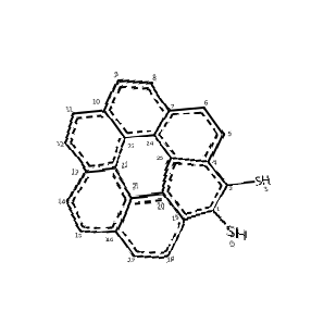 Sc1c(S)c2ccc3ccc4ccc5ccc6ccc1c1c6c5c4c3c21